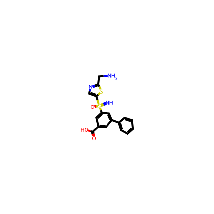 N=S(=O)(c1cc(C(=O)O)cc(-c2ccccc2)c1)c1cnc(CN)s1